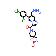 NCc1cc2ncc(C(=O)N3CCC4(CC3)CNC(=O)O4)n2cc1-c1ccc(Cl)cc1Cl